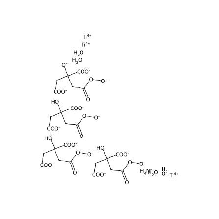 O.O.O.O.O=C([O-])CC(O)(CC(=O)O[O-])C(=O)[O-].O=C([O-])CC(O)(CC(=O)O[O-])C(=O)[O-].O=C([O-])CC(O)(CC(=O)O[O-])C(=O)[O-].O=C([O-])CC([O-])(CC(=O)O[O-])C(=O)[O-].[NH4+].[Ti+4].[Ti+4].[Ti+4]